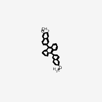 COc1ccc2cc(-c3c4ccccc4c(-c4ccc5cc(OC)ccc5c4)c4ccccc34)ccc2c1